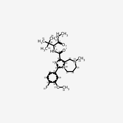 CNC(=O)C(NC(=O)c1nc(-c2ccc(F)c(OC)c2)n2c1CN(C)CCC2)C(C)(C)C